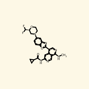 CNc1ncc(-c2nc3cc(N4CCO[C@H](C(F)F)C4)ccc3o2)c2cc(NC(=O)C3CC3)ncc12